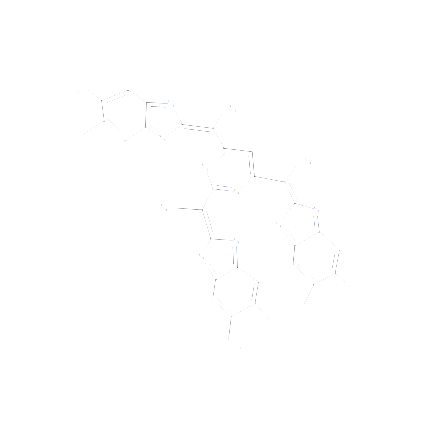 N#CC(=C1N=c2cc(C(F)(F)F)c(C(F)(F)F)cc2=N1)c1cc(C(C#N)=C2N=c3cc(C(F)(F)F)c(C(F)(F)F)cc3=N2)nc(C(C#N)=C2N=c3cc(C(F)(F)F)c(C(F)(F)F)cc3=N2)n1